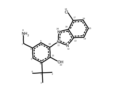 CC(C)(C)c1cc(CN)cc(-n2nc3cccc(Cl)c3n2)c1O